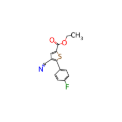 CCOC(=O)c1cc(C#N)c(-c2ccc(F)cc2)s1